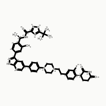 Cc1cc(-c2n[nH]c3ncc(-c4ccc(N5CCN(CCc6ccc([C@@H]7CCC(=O)NC7=O)c(F)c6)CC5)cc4)cc23)ccc1[C@@H](C)NC(=O)c1noc(C(C)(C)C)n1